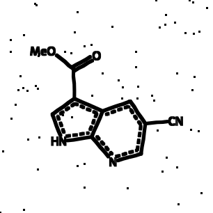 COC(=O)c1c[nH]c2ncc(C#N)cc12